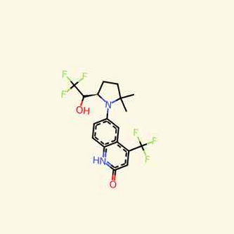 CC1(C)CC[C@H](C(O)C(F)(F)F)N1c1ccc2[nH]c(=O)cc(C(F)(F)F)c2c1